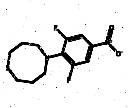 O=[N+]([O-])c1cc(F)c(N2CCCSCCC2)c(F)c1